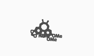 COc1cc2c(c(O)c1OC)-c1c(cc3c(c1OC)OCO3)C[C@@H](C)[C@@H](C)C2